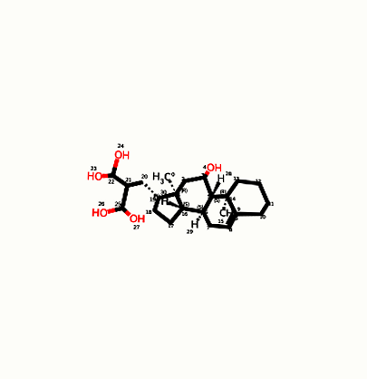 C[C@]12CC(O)[C@H]3[C@@H](CC=C4CCCC[C@@]43C)[C@@H]1CC[C@@H]2CC(C(O)O)C(O)O